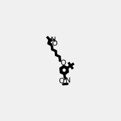 Cc1cc(CCCCCOc2ccc(C3=NCCO3)cc2C(C)(C)C)on1